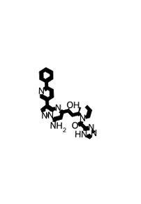 C/C=C\N(C(=O)c1nnc[nH]1)[C@H](C)C[C@@H](O)c1cc(N)n2ncc(-c3ccc(-c4ccccc4)nc3)c2n1